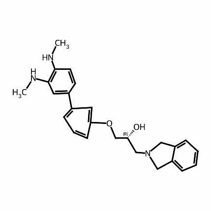 CNc1ccc(-c2cccc(OC[C@H](O)CN3Cc4ccccc4C3)c2)cc1NC